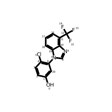 Oc1ccc(Cl)c(-n2cnc3c(C(F)(F)F)cccc32)c1